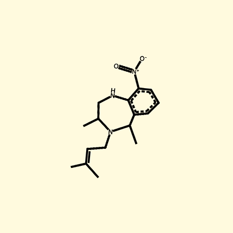 CC(C)=CCN1C(C)CNc2c(cccc2[N+](=O)[O-])C1C